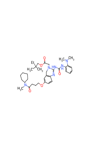 CCC(C)(C)COC(=O)CN1Cc2cc(OCCCC(=O)N(C)C3CCCCC3)ccc2N=C1NC(=O)Nc1ccccc1N(C)C